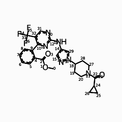 COC(=O)c1ccccc1-c1nc(Nc2cnn(C3CCN(C(=O)C4CC4)CC3)c2)ncc1C(F)(F)F